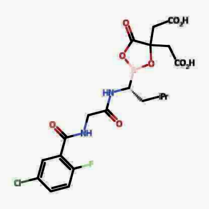 CC(C)C[C@H](NC(=O)CNC(=O)c1cc(Cl)ccc1F)B1OC(=O)C(CC(=O)O)(CC(=O)O)O1